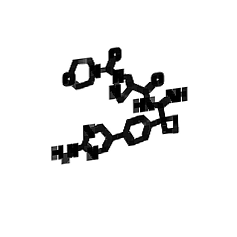 N=C(NC(=O)c1cnn(C(=O)N2CCOCC2)c1)C1(c2ccc(-c3cnc(N)nc3)cc2)CCC1